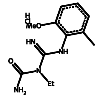 CCN(C(=N)Nc1c(C)cccc1OC)C(N)=O.Cl